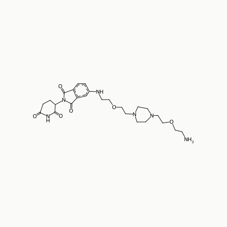 NCCOCCN1CCN(CCOCCNc2ccc3c(c2)C(=O)N(C2CCC(=O)NC2=O)C3=O)CC1